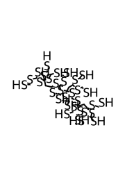 SCSC(S)SC(CC(SCS)SC(SCS)SC(CC(SCS)SCS)(SCS)SCSC(CC(SCS)(SCS)SCS)(SCS)SCS)(SCS)SCS